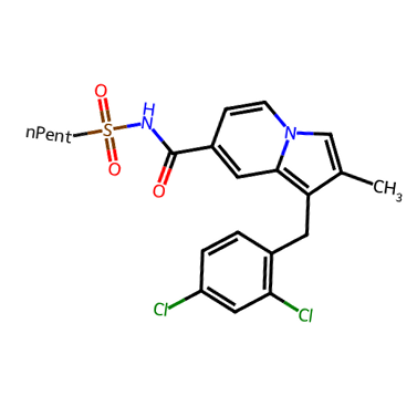 CCCCCS(=O)(=O)NC(=O)c1ccn2cc(C)c(Cc3ccc(Cl)cc3Cl)c2c1